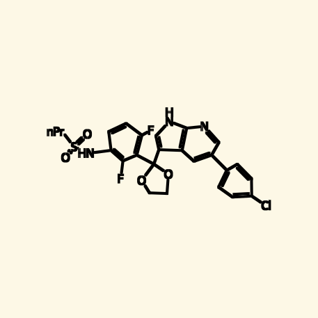 CCCS(=O)(=O)Nc1ccc(F)c(C2(c3c[nH]c4ncc(-c5ccc(Cl)cc5)cc34)OCCO2)c1F